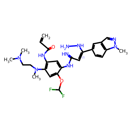 C=CC(=O)Nc1cc(NC(=N)/C=C(\NN)c2ccc3c(cnn3C)c2)c(OC(F)F)cc1N(C)CCN(C)C